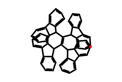 c1ccc2c(c1)-c1ccccc1C2C(=C(C1c2ccccc2-c2ccccc21)C1c2ccccc2-c2ccccc21)C1c2ccccc2-c2ccccc21